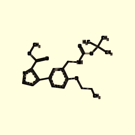 CCCOc1ccc(-c2ccsc2C(=O)OC)cc1CNC(=O)OC(C)(C)C